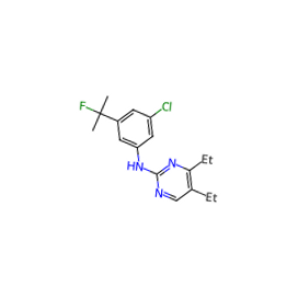 CCc1cnc(Nc2cc(Cl)cc(C(C)(C)F)c2)nc1CC